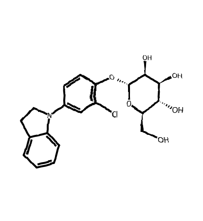 OC[C@H]1O[C@H](Oc2ccc(N3CCc4ccccc43)cc2Cl)[C@@H](O)[C@@H](O)[C@@H]1O